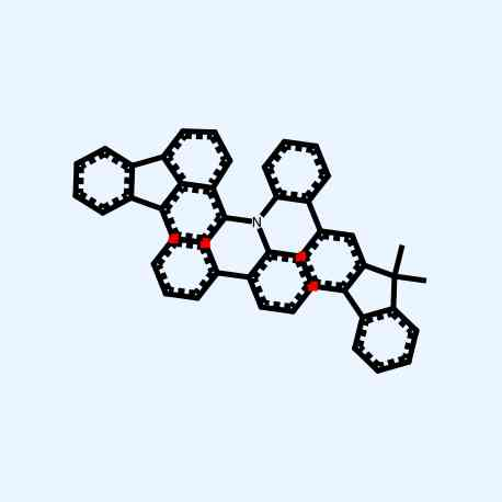 CC1(C)c2ccccc2-c2ccc(-c3ccccc3N(c3ccccc3-c3ccccc3)c3ccc4c5c(cccc35)-c3ccccc3-4)cc21